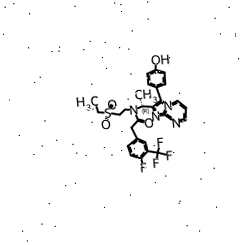 CCS(=O)(=O)CCN(C(=O)Cc1ccc(F)c(C(F)(F)F)c1)[C@H](C)c1nc2ncccn2c1-c1ccc(O)cc1